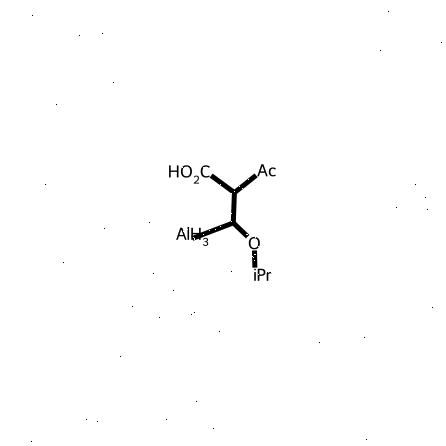 CC(=O)C(C(=O)O)C(C)OC(C)C.[AlH3]